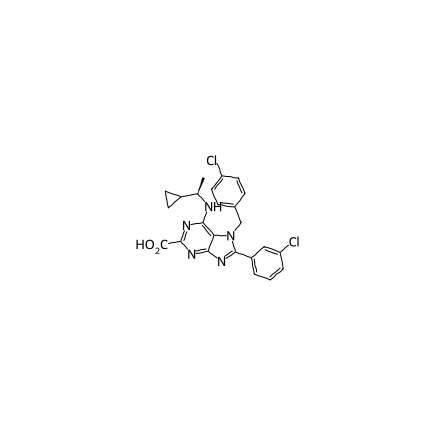 C[C@@H](Nc1nc(C(=O)O)nc2nc(-c3cccc(Cl)c3)n(Cc3ccc(Cl)cc3)c12)C1CC1